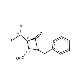 C[C@@H](F)[C@H]1C(=O)N(Cc2ccccc2)[C@@H]1C=O